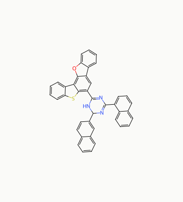 c1ccc2cc(C3N=C(c4cccc5ccccc45)N=C(c4cc5c6ccccc6oc5c5c4sc4ccccc45)N3)ccc2c1